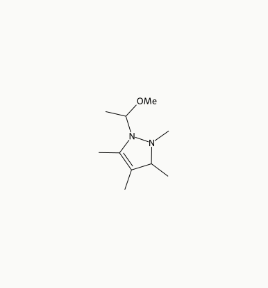 COC(C)N1C(C)=C(C)C(C)N1C